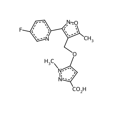 Cc1onc(-c2ccc(F)cn2)c1COc1cc(C(=O)O)nn1C